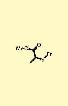 CCSC(C)C(=O)OC